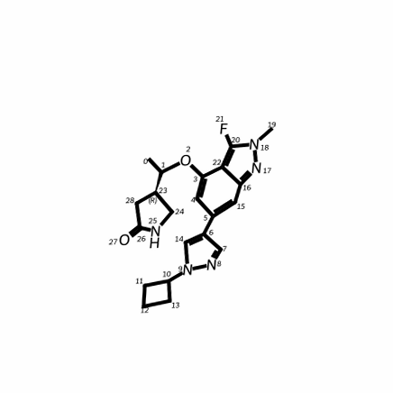 CC(Oc1cc(-c2cnn(C3CCC3)c2)cc2nn(C)c(F)c12)[C@H]1CNC(=O)C1